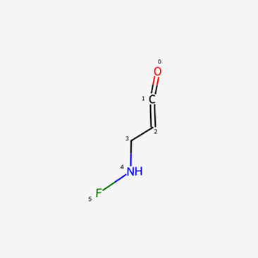 O=C=CCNF